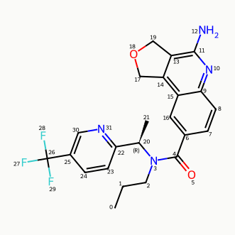 CCCN(C(=O)c1ccc2nc(N)c3c(c2c1)COC3)[C@H](C)c1ccc(C(F)(F)F)cn1